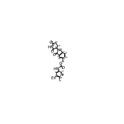 CCc1cc(NC(=O)OCc2ccc3c(c2)C(=O)N(C2CCC(=O)NC2=O)C3)cnc1C